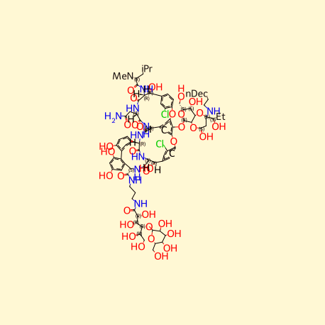 CCCCCCCCCCCCN[C@@]1([C@@H](O)CC)C[C@@H](O)OC2C(O1)[C@@H](O)[C@@H](CO)O[C@@H]2Oc1c2cc3cc1Oc1ccc(cc1Cl)[C@@H](O)[C@@H](NC(=O)[C@@H](CC(C)C)NC)C(=O)N[C@@H](CC(N)=O)C(=O)N[C@H]3C(=O)N[C@H]1C(=O)N[C@H](C(=O)N[C@H](C(=O)NCCCNC(=O)[C@H](O)[C@@H](O)[C@H](OC3OC(CO)C(O)C(O)C3O)[C@H](O)CO)c3cc(O)cc(O)c3-c3cc1ccc3O)[C@H](O)c1ccc(c(Cl)c1)O2